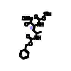 COC(=O)/C(=C/C(C)NC(=O)OCc1ccccc1)NC(=O)OC(C)(C)C